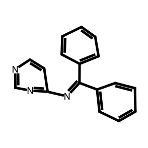 c1ccc(C(=Nc2ccncn2)c2ccccc2)cc1